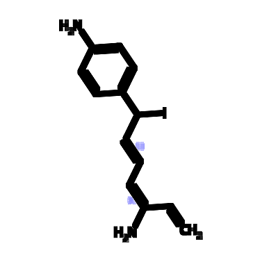 C=C/C(N)=C\C=C\C(I)c1ccc(N)cc1